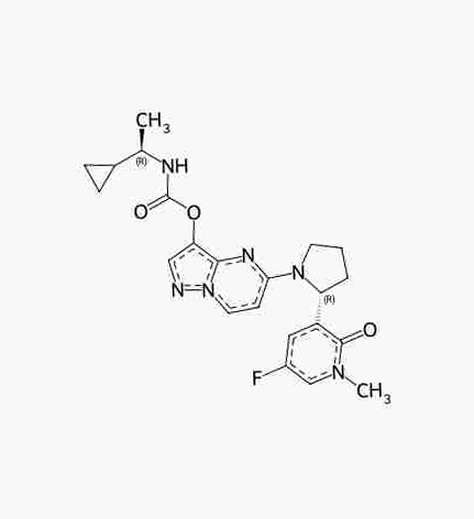 C[C@@H](NC(=O)Oc1cnn2ccc(N3CCC[C@@H]3c3cc(F)cn(C)c3=O)nc12)C1CC1